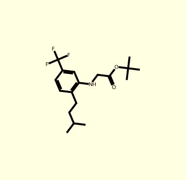 C[C](C)CCc1ccc(C(F)(F)F)cc1NCC(=O)OC(C)(C)C